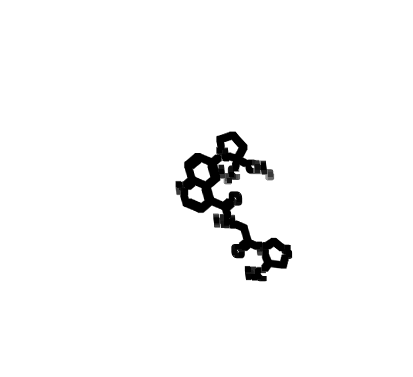 CC1(C)CCCN1c1ccc2nccc(C(=O)NCC(=O)N3CSCC3C#N)c2c1